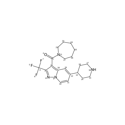 O=C(c1c(C(F)(F)F)nn2ccc(C3CCNCC3)cc12)N1CCCCCC1